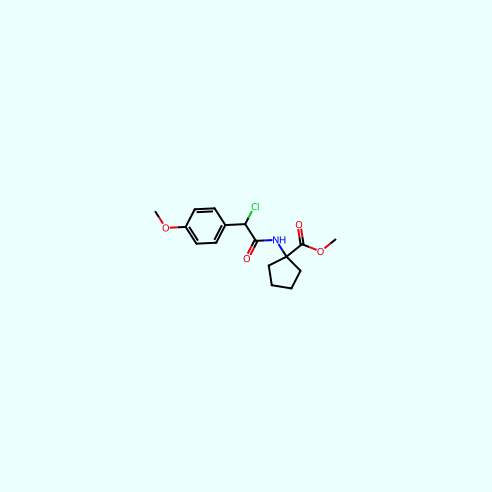 COC(=O)C1(NC(=O)C(Cl)c2ccc(OC)cc2)CCCC1